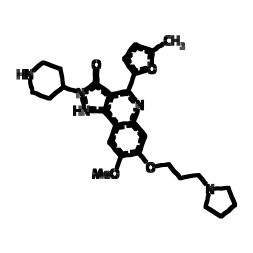 COc1cc2c(cc1OCCCN1CCCC1)nc(-c1ccc(C)o1)c1c(=O)n(C3CCNCC3)[nH]c12